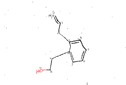 C=CCc1ccccc1CCO